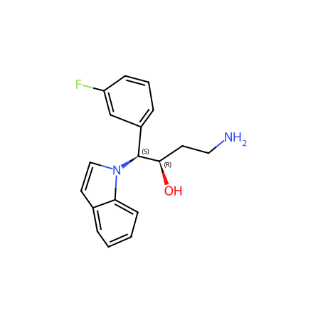 NCC[C@@H](O)[C@H](c1cccc(F)c1)n1ccc2ccccc21